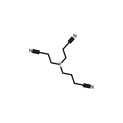 N#CCCCP(CCC#N)CCC#N